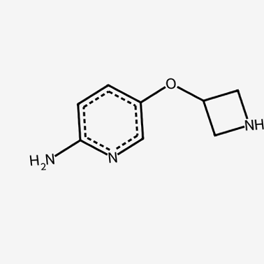 Nc1ccc(OC2CNC2)cn1